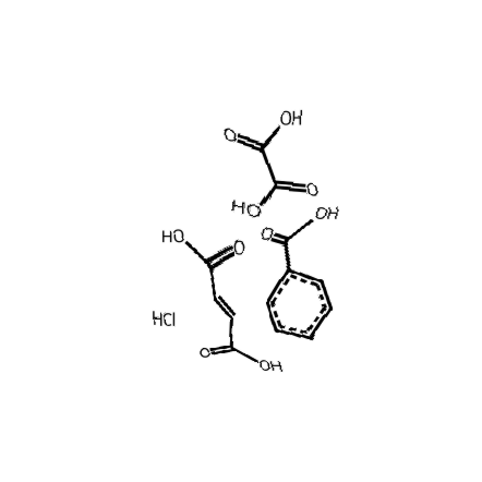 Cl.O=C(O)C(=O)O.O=C(O)C=CC(=O)O.O=C(O)c1ccccc1